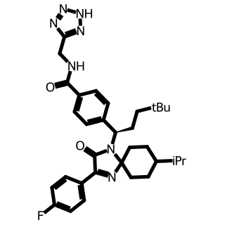 CC(C)C1CCC2(CC1)N=C(c1ccc(F)cc1)C(=O)N2[C@H](CCC(C)(C)C)c1ccc(C(=O)NCc2nn[nH]n2)cc1